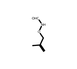 C=C(C)CON[C]=O